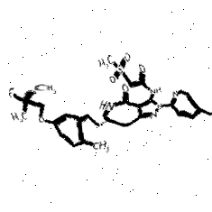 Cc1ccc(-n2nc3c(c2NC(=O)CS(C)(=O)=O)C(=O)N[C@@H](CCc2cc(OCC(C)(C)F)ccc2C)C3)nc1